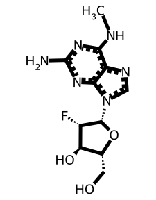 CNc1nc(N)nc2c1ncn2[C@@H]1O[C@H](CO)[C@@H](O)[C@@H]1F